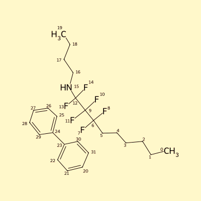 CCCCCCC(F)(F)C(F)(F)C(F)(F)NCCCC.c1ccc(-c2ccccc2)cc1